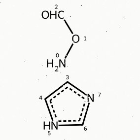 NOC=O.c1c[nH]cn1